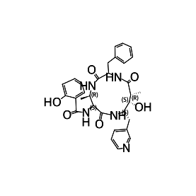 C[C@H]1NC(=O)C(Cc2ccccc2)NC(=O)[C@H](C)[C@H](O)[C@H](Cc2cccnc2)NC(=O)[C@H]1NC(=O)c1ccccc1O